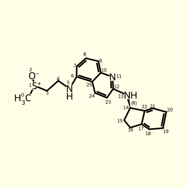 C[S+]([O-])CCNc1cccc2nc(N[C@@H]3CCc4ccccc43)ccc12